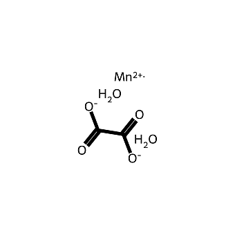 O.O.O=C([O-])C(=O)[O-].[Mn+2]